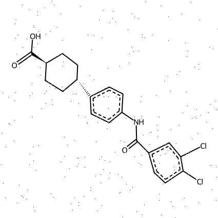 O=C(Nc1ccc([C@H]2CC[C@H](C(=O)O)CC2)cc1)c1ccc(Cl)c(Cl)c1